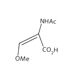 COC=C(NC(C)=O)C(=O)O